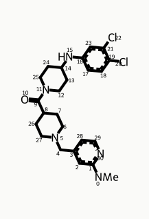 CNc1cc(CN2CCC(C(=O)N3CCC(Nc4ccc(Cl)c(Cl)c4)CC3)CC2)ccn1